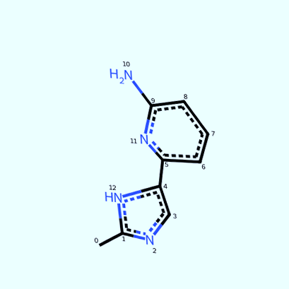 Cc1ncc(-c2cccc(N)n2)[nH]1